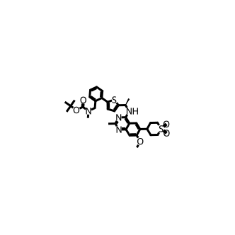 COc1cc2nc(C)nc(N[C@H](C)c3ccc(-c4ccccc4CN(C)C(=O)OC(C)(C)C)s3)c2cc1C1CCS(=O)(=O)CC1